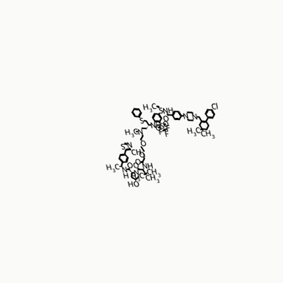 C/C=S(/NC(=O)c1ccc(N2CCN(CC3=C(c4ccc(Cl)cc4)CCC(C)(C)C3)CC2)cc1)c1ccc(N[C@H](CCN(C)CCOCCOCC(=O)N[C@H](C(=O)N2C[C@H](O)C[C@H]2C(=O)N[C@@H](C)c2ccc(-c3scnc3C)cc2)C(C)(C)C)CSc2ccccc2)c(S(=O)(=O)C(F)(F)F)c1